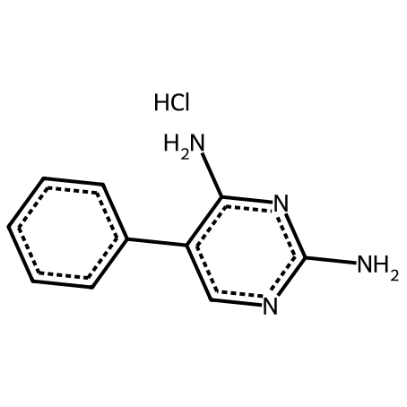 Cl.Nc1ncc(-c2ccccc2)c(N)n1